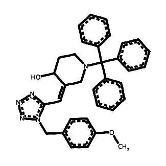 COc1ccc(Cn2nnnc2C=C2CN(C(c3ccccc3)(c3ccccc3)c3ccccc3)CCC2O)cc1